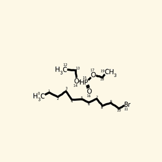 CCCCCCCCCCCBr.CCO[PH](=O)OCC